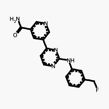 NC(=O)c1cncc(-c2ccnc(Nc3cccc(CF)c3)n2)c1